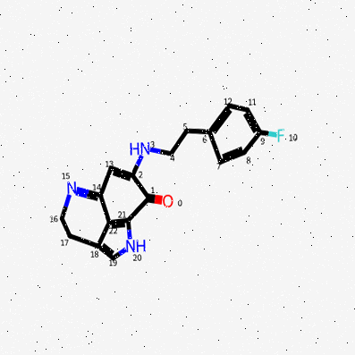 O=C1C(NCCc2ccc(F)cc2)=CC2=NCCc3c[nH]c1c32